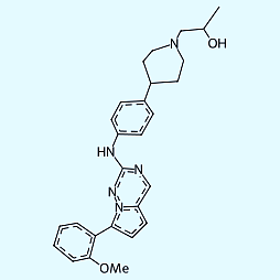 COc1ccccc1-c1ccc2cnc(Nc3ccc(C4CCN(CC(C)O)CC4)cc3)nn12